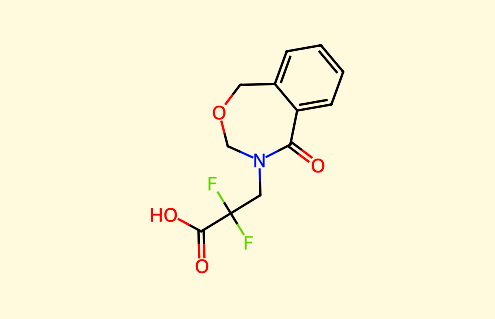 O=C1c2ccccc2COCN1CC(F)(F)C(=O)O